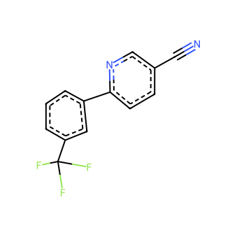 N#Cc1ccc(-c2cccc(C(F)(F)F)c2)nc1